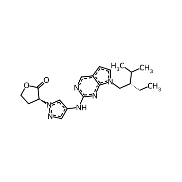 CC[C@H](Cn1ccc2cnc(Nc3cnn([C@H]4CCOC4=O)c3)nc21)C(C)C